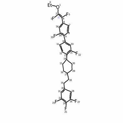 CCO/C(F)=C(\F)c1ccc(-c2ccc(C3CCC(CCc4cc(F)c(F)c(F)c4)CC3)c(F)c2)c(F)c1